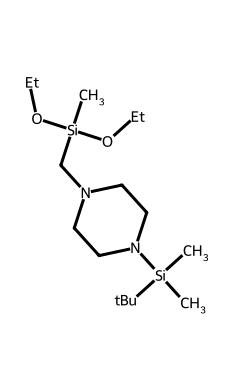 CCO[Si](C)(CN1CCN([Si](C)(C)C(C)(C)C)CC1)OCC